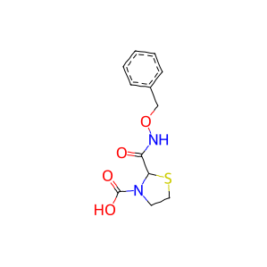 O=C(NOCc1ccccc1)C1SCCN1C(=O)O